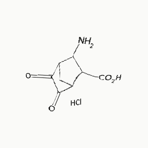 Cl.NC1C2CC(C(=O)C2=O)C1C(=O)O